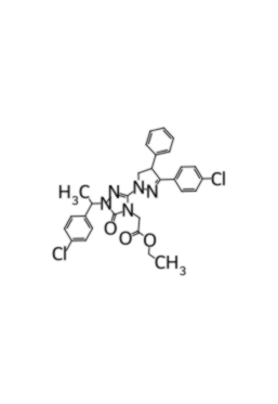 CCOC(=O)Cn1c(N2CC(c3ccccc3)C(c3ccc(Cl)cc3)=N2)nn(C(C)c2ccc(Cl)cc2)c1=O